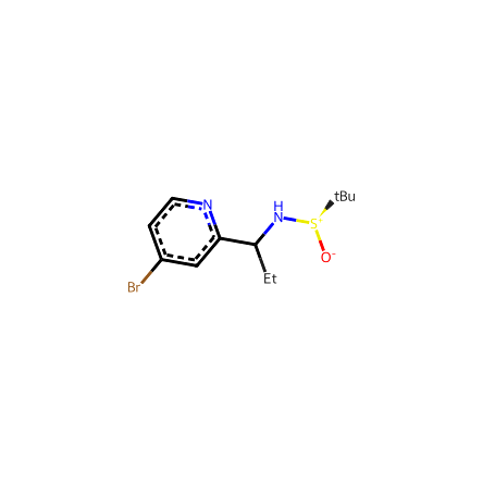 CCC(N[S@+]([O-])C(C)(C)C)c1cc(Br)ccn1